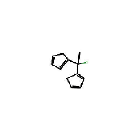 CC(Cl)(C1=CC=CC1)C1=CC=CC1